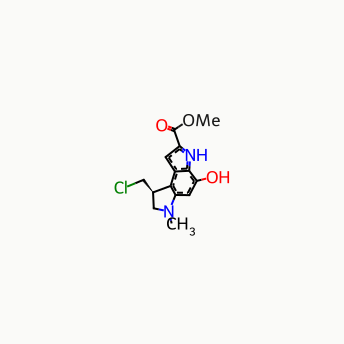 COC(=O)c1cc2c3c(cc(O)c2[nH]1)N(C)C[C@H]3CCl